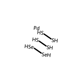 SS.SS.[Pd].[SeH][SeH]